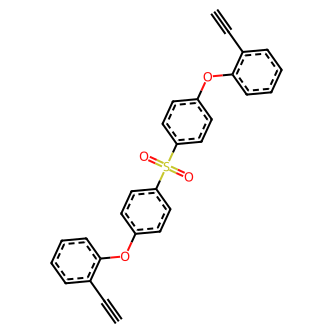 C#Cc1ccccc1Oc1ccc(S(=O)(=O)c2ccc(Oc3ccccc3C#C)cc2)cc1